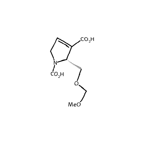 COCOC[C@H]1C(C(=O)O)=CCN1C(=O)O